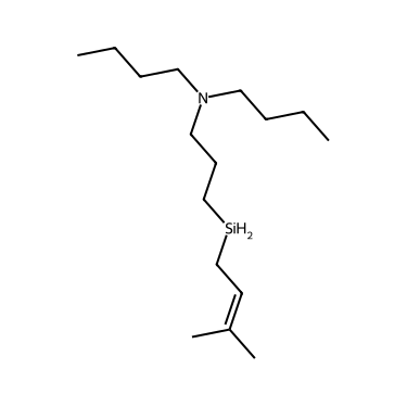 CCCCN(CCCC)CCC[SiH2]CC=C(C)C